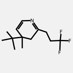 CC(C)(C)C1(C)C=CN=C(CCC(F)(F)F)C1